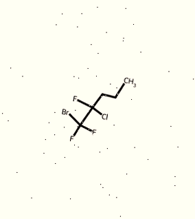 CCCC(F)(Cl)C(F)(F)Br